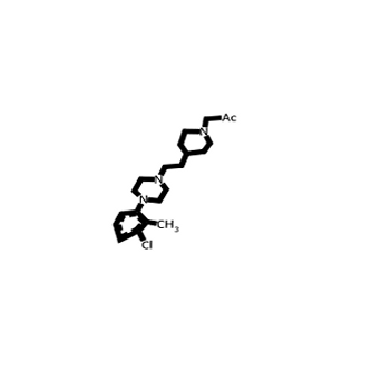 CC(=O)CN1CCC(CCN2CCN(c3cccc(Cl)c3C)CC2)CC1